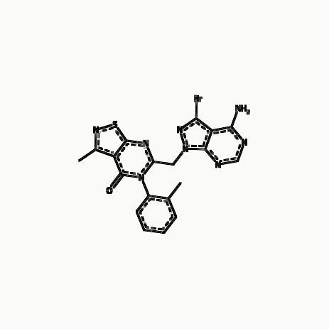 Cc1ccccc1-n1c(Cn2nc(Br)c3c(N)ncnc32)nc2snc(C)c2c1=O